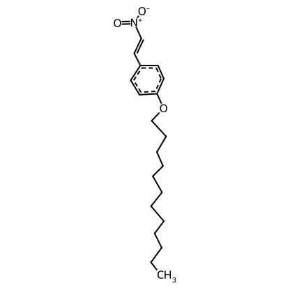 CCCCCCCCCCCCOc1ccc(C=C[N+](=O)[O-])cc1